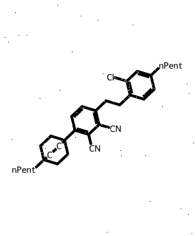 CCCCCc1ccc(CCc2ccc(C34CCC(CCCCC)(CC3)CC4)c(C#N)c2C#N)c(Cl)c1